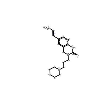 O=C(O)/C=C/c1cnc2c(c1)CN(CCCN1CCOCC1)C(=O)N2